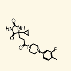 Cc1ccc(N2CCN(C(=O)CCC3(C4CC4)NC(=O)NC3=O)CC2)cc1F